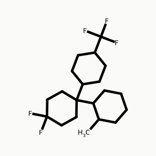 CC1CCCCC1C1(C2CCC(C(F)(F)F)CC2)CCC(F)(F)CC1